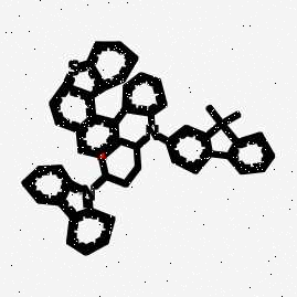 CC1(C)c2ccccc2-c2ccc(N(c3ccccc3-c3cccc4ccc5sc6ccccc6c5c34)C3CCC(n4c5ccccc5c5ccccc54)CC3)cc21